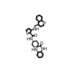 O=C(N[C@H]1CC[C@]2(CC1)Nc1ccccc1NC2=O)c1sccc1NCc1ccnc2ccccc12